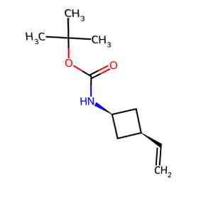 C=C[C@H]1C[C@@H](NC(=O)OC(C)(C)C)C1